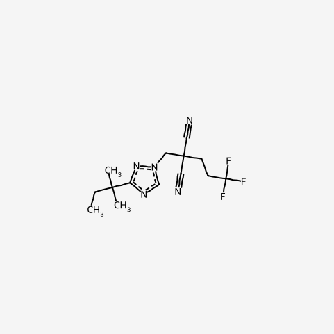 CCC(C)(C)c1ncn(CC(C#N)(C#N)CCC(F)(F)F)n1